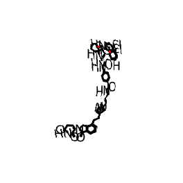 O=C1CCC(N2Cc3c(CCc4cnn(CCCNC(=O)c5ccc(NC(O)[C@@H]6NC7(CCCCC7)[C@@]7(C(=O)Nc8cc(Cl)ccc87)[C@H]6c6cccc(Cl)c6F)cc5)c4)cccc3C2=O)C(=O)N1